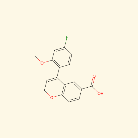 COc1cc(F)ccc1C1=CCOc2ccc(C(=O)O)cc21